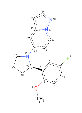 COc1ccc(F)cc1[C@H]1CCCN1c1ccn2nc[c]c2c1